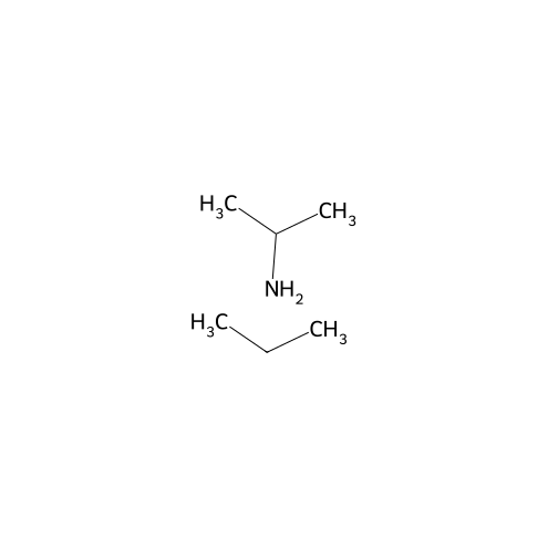 CC(C)N.CCC